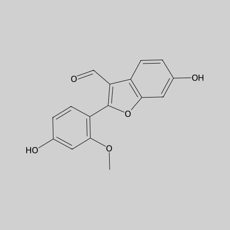 COc1cc(O)ccc1-c1oc2cc(O)ccc2c1C=O